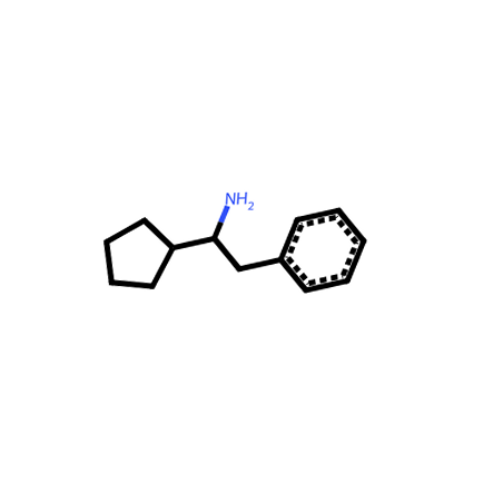 NC(Cc1ccccc1)C1CCCC1